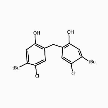 CC(C)(C)c1cc(O)c(Cc2cc(Cl)c(C(C)(C)C)cc2O)cc1Cl